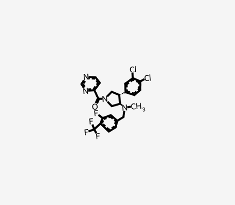 CN(Cc1ccc(C(F)(F)F)c(F)c1)[C@H]1CN(C(=O)c2ccncn2)C[C@@H]1c1ccc(Cl)c(Cl)c1